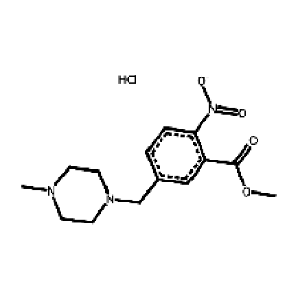 COC(=O)c1cc(CN2CCN(C)CC2)ccc1[N+](=O)[O-].Cl